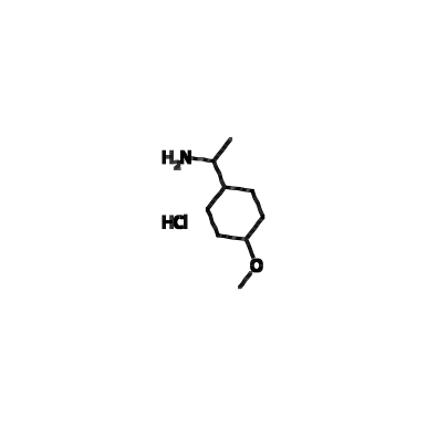 COC1CCC(C(C)N)CC1.Cl